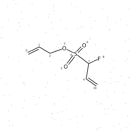 C=CCOS(=O)(=O)C(F)C=C